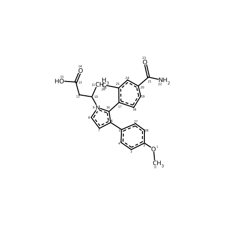 COc1ccc(-c2ccn(C(C)CC(=O)O)c2-c2ccc(C(N)=O)cc2C)cc1